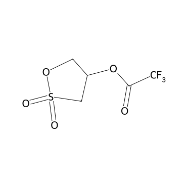 O=C(OC1COS(=O)(=O)C1)C(F)(F)F